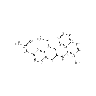 CCOCC(Cc1ccc(OC(C)=O)cc1)Nc1c(N)cnc2ccccc12